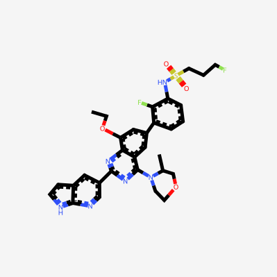 CCOc1cc(-c2cccc(NS(=O)(=O)CCCF)c2F)cc2c(N3CCOCC3C)nc(-c3cnc4[nH]ccc4c3)nc12